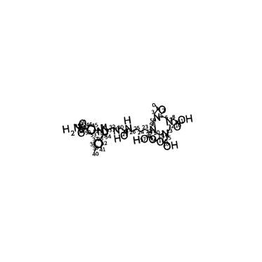 CC(=O)CN1CCN(CC(=O)O)CCN(CC(=O)O)CCN(C(CCCCNC(=O)CNCc2cc(-c3ccc(C)cc3)n(-c3ccc(S(N)(=O)=O)cc3)n2)C(=O)O)CC1